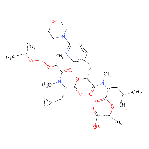 CC(C)C[C@@H](C(=O)O[C@H](C)C(=O)O)N(C)C(=O)[C@@H](Cc1ccc(N2CCOCC2)nc1)OC(=O)[C@H](CC1CC1)N(C)C(=O)[C@@H](C)OCOC(C)C